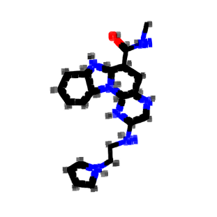 CNC(=O)c1cc2ncc(NCCn3cccc3)nc2n2c1nc1ccccc12